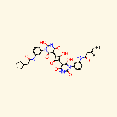 CC/C=C(\CC)CC(=O)Nc1cccc(-n2c(O)c(C3=C(O)/C(=C4\C(=O)N=C(O)N(c5cccc(NC(=O)CC6CCCC6)c5)C4=O)C3=O)c(=O)[nH]c2=O)c1